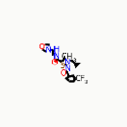 Cc1c(C(=O)NCCN2CCOCC2)s/c(=N\C(=O)c2cccc(C(F)(F)F)c2)n1CC1CC1